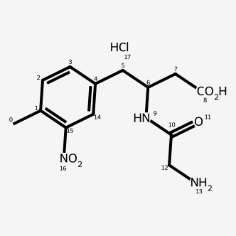 Cc1ccc(CC(CC(=O)O)NC(=O)CN)cc1[N+](=O)[O-].Cl